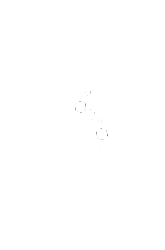 COc1cc(NC(=O)Nc2ccc(OC(F)(F)F)cc2)ccc1OC(F)F